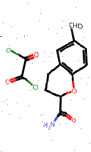 NC(=O)C1CCc2cc(C=O)ccc2O1.O=C(Cl)C(=O)Cl